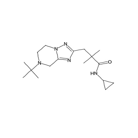 CC(C)(Cc1nc2n(n1)CCN(C(C)(C)C)C2)C(=O)NC1CC1